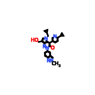 Cn1cc2cc(-n3nc4c(CO)cn(CC5CC5)c4c(-c4ccc(C5CC5)nc4)c3=O)ccc2n1